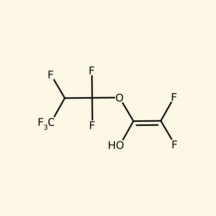 OC(OC(F)(F)C(F)C(F)(F)F)=C(F)F